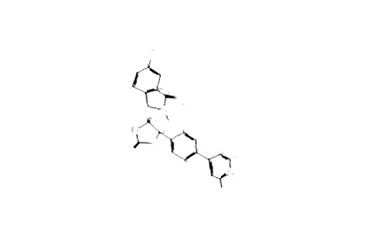 Cc1cc(-c2ccc([C@@]3(CN4Cc5ccc(F)cc5C4=O)NC(=O)NC3=O)cc2)ccn1